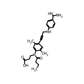 CCCC(=O)N(CCC(=O)O)c1cc(C)c(C#CCNc2ccc(C(=N)N)cc2)cc1C